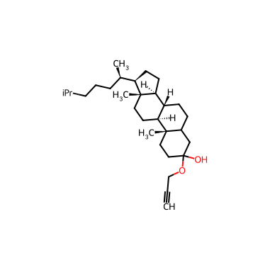 C#CCOC1(O)CC[C@@]2(C)C(CC[C@H]3[C@@H]4CC[C@H]([C@H](C)CCCC(C)C)[C@@]4(C)CC[C@@H]32)C1